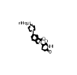 CCCCCCCN1CCN(c2ccc3c(c2)C(=O)N(C2CCC(=O)NC2=O)C3)CC1